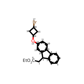 CCOC(=O)CC1c2ccccc2-c2ccc(OC3CC(Br)C3)cc21